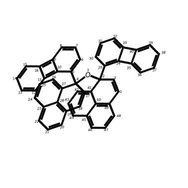 C1=CC(OC2(c3cccc4c3=c3ccccc3=4)C=Cc3cccc4cccc2c34)(c2cccc3c2-c2ccccc2-3)c2cccc3cccc1c23